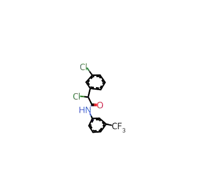 O=C(Nc1cccc(C(F)(F)F)c1)C(Cl)c1cccc(Cl)c1